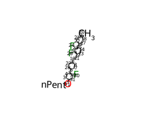 CCCCCOc1ccc(-c2ccc(CCc3ccc(C4CCC(C)CC4)c(F)c3F)cc2)c(F)c1